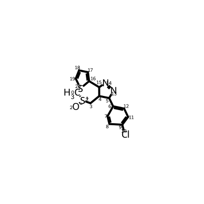 C[S+]([O-])CC1C(c2ccc(Cl)cc2)N=NC1c1cccs1